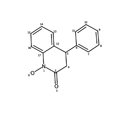 [O]N1C(=O)CC(c2ccccc2)c2ccccc21